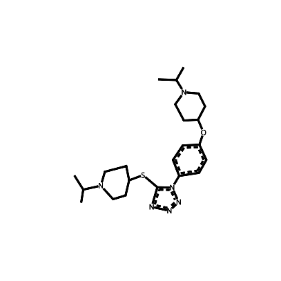 CC(C)N1CCC(Oc2ccc(-n3nnnc3SC3CCN(C(C)C)CC3)cc2)CC1